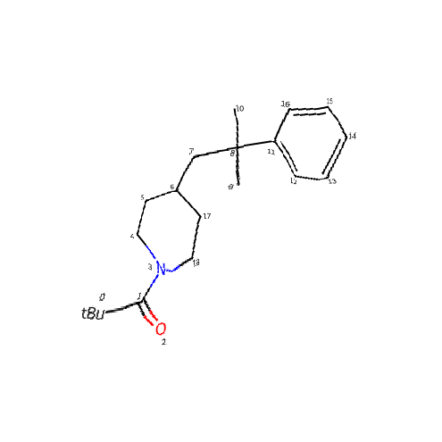 CC(C)(C)C(=O)N1CCC(CC(C)(C)c2ccccc2)CC1